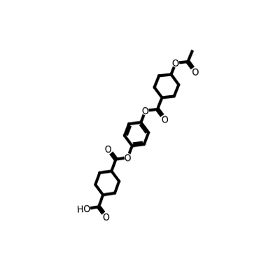 CC(=O)OC1CCC(C(=O)Oc2ccc(OC(=O)C3CCC(C(=O)O)CC3)cc2)CC1